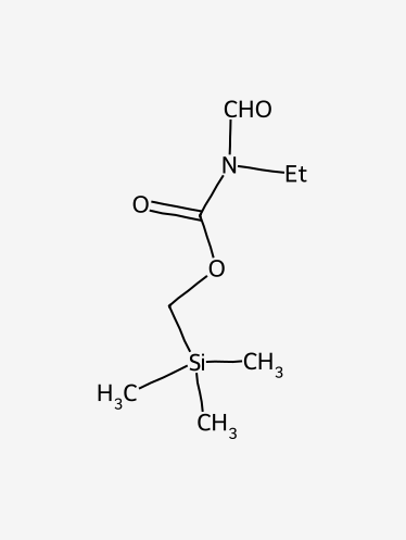 CCN(C=O)C(=O)OC[Si](C)(C)C